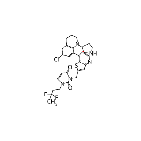 CC(F)(F)CCn1ccc(=O)n(Cc2cc3nccc(-c4cc(Cl)cc5c4N(C4CCNC4)CCC5)c3s2)c1=O